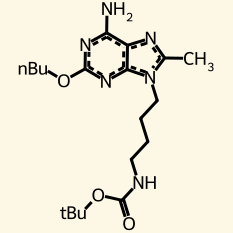 CCCCOc1nc(N)c2nc(C)n(CCCCNC(=O)OC(C)(C)C)c2n1